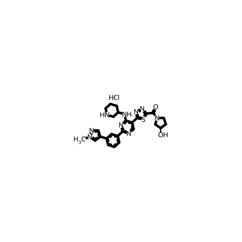 Cl.Cn1cc(-c2cccc(-c3ncc(-c4nnc(C(=O)N5CC[C@@H](O)C5)s4)c(NC4CCCNC4)n3)c2)cn1